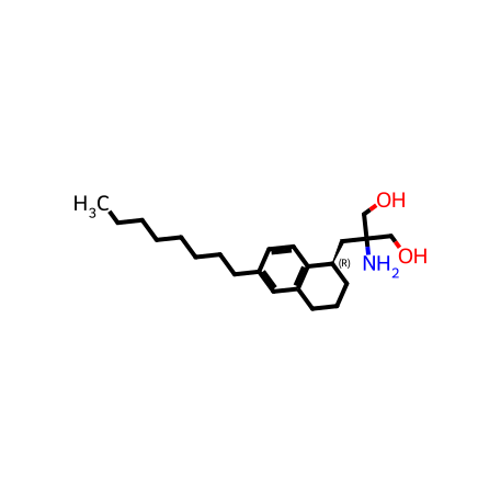 CCCCCCCCc1ccc2c(c1)CCC[C@@H]2CC(N)(CO)CO